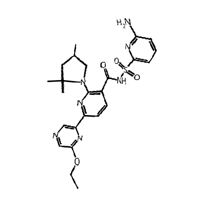 CCOc1cncc(-c2ccc(C(=O)NS(=O)(=O)c3cccc(N)n3)c(N3CC(C)CC3(C)C)n2)n1